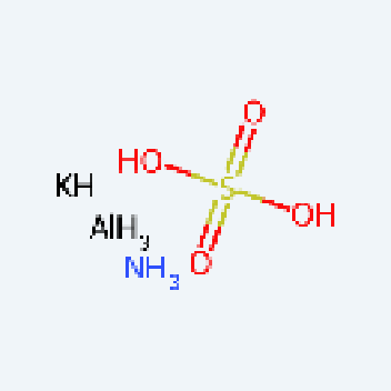 N.O=S(=O)(O)O.[AlH3].[KH]